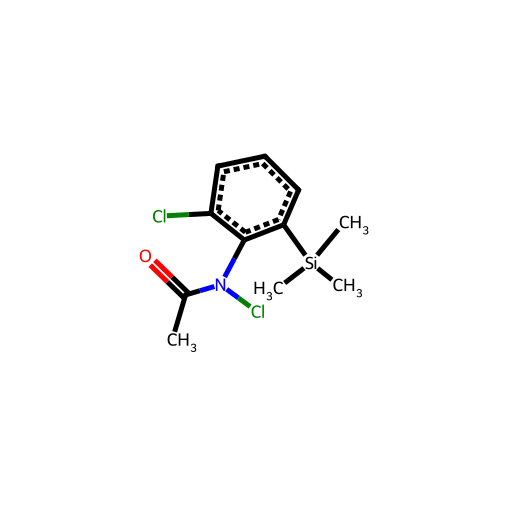 CC(=O)N(Cl)c1c(Cl)cccc1[Si](C)(C)C